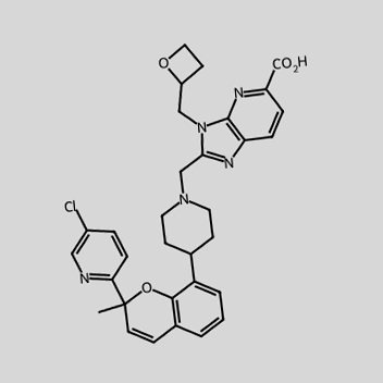 CC1(c2ccc(Cl)cn2)C=Cc2cccc(C3CCN(Cc4nc5ccc(C(=O)O)nc5n4CC4CCO4)CC3)c2O1